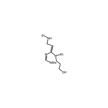 CCNC/C=C(\N=C/NC)N(CC)CCCO